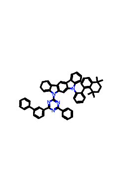 CC1(C)CCC(C)(C)c2c(-c3ccccc3-n3c4ccccc4c4cc5c6c(n(-c7nc(-c8ccccc8)nc(-c8cccc(-c9ccccc9)c8)n7)c5cc43)=CCCC=6)cccc21